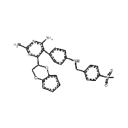 CS(=O)(=O)c1ccc(CNc2ccc(-c3c(N)nc(N)nc3C3COc4ccccc4O3)cc2)cc1